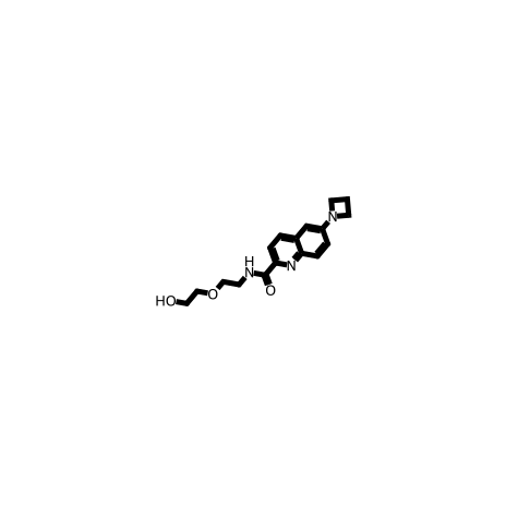 O=C(NCCOCCO)c1ccc2cc(N3CCC3)ccc2n1